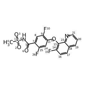 CS(=O)(=O)NC(=O)c1cc(F)c(Oc2c(F)ccc3cccnc23)cc1F